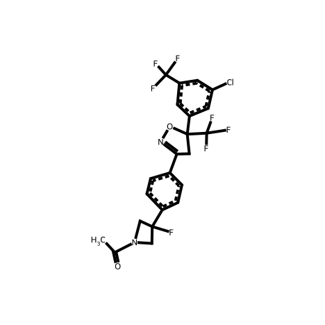 CC(=O)N1CC(F)(c2ccc(C3=NOC(c4cc(Cl)cc(C(F)(F)F)c4)(C(F)(F)F)C3)cc2)C1